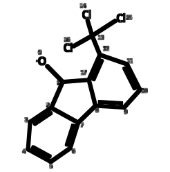 [O]C1c2ccccc2-c2cccc(C(Cl)(Cl)Cl)c21